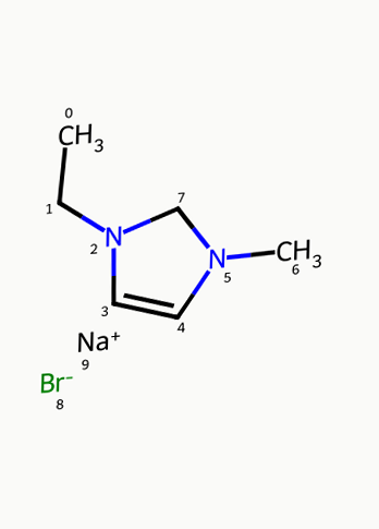 CCN1C=CN(C)C1.[Br-].[Na+]